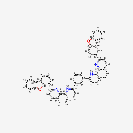 c1cc(-c2ccc3ccc4ccc(-c5ccc6oc7ccccc7c6c5)nc4c3n2)cc(-c2ccc3ccc4ccc(-c5cccc6c5oc5ccccc56)nc4c3n2)c1